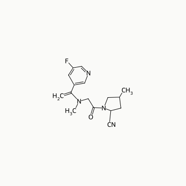 C=C(c1cncc(F)c1)N(C)CC(=O)N1CC(C)CC1C#N